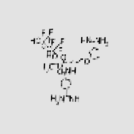 CCOC(=O)[C@@H](CCCOc1cccc(C(=N)N)c1)NC(=O)c1ccc(C(=N)N)cc1.O=C(O)C(F)(F)F.O=C(O)C(F)(F)F